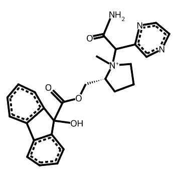 C[N+]1(C(C(N)=O)c2cnccn2)CCC[C@@H]1COC(=O)C1(O)c2ccccc2-c2ccccc21